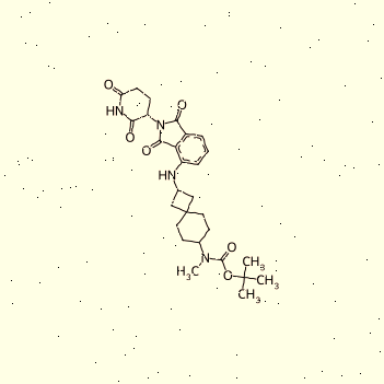 CN(C(=O)OC(C)(C)C)C1CCC2(CC1)CC(Nc1cccc3c1C(=O)N(C1CCC(=O)NC1=O)C3=O)C2